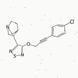 Clc1ccc(C#CCOc2nsnc2C2CN3CCC2C3)cc1